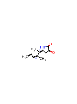 C=C/C=C(C)\C(C)=C1/CC(=O)C(=O)N1